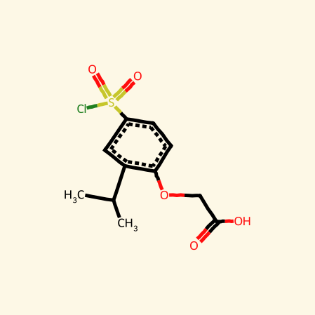 CC(C)c1cc(S(=O)(=O)Cl)ccc1OCC(=O)O